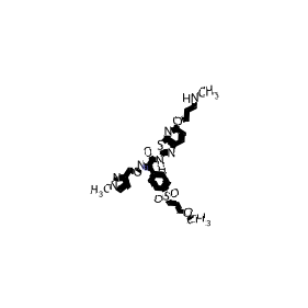 CNCCCOc1ccc2nc(NC(=O)/C(=N/OCc3ccn(C)n3)c3ccc(S(=O)(=O)CCCOC)cc3)sc2n1